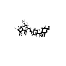 CCN(CCN1CCC(c2noc3cc(F)ccc23)CC1)C(=O)C1CNCC1O